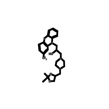 CC1(C)OCC(CN2CCN(CC(O)CN3c4ccccc4Sc4ccc(C(F)(F)F)cc43)CC2)O1